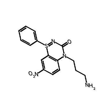 NCCCN1C(=O)N=S(c2ccccc2)c2cc([N+](=O)[O-])ccc21